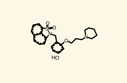 Cl.O=S1(=O)c2cccc3cccc(c23)N1Cc1ccccc1OCCCN1CCCCC1